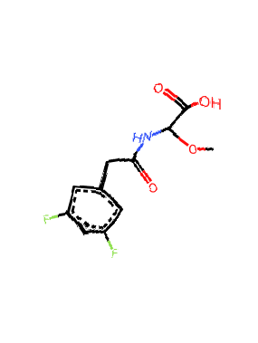 COC(NC(=O)Cc1cc(F)cc(F)c1)C(=O)O